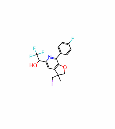 CC1(CI)COc2c1cc(C(O)C(F)(F)F)nc2-c1ccc(F)cc1